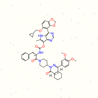 COc1ccc(C2=NN(C3CCN(C(=O)[C@@H](Cc4ccccc4)NC(=O)Oc4c(C)[nH]c5c(-c6c(OCC7CC7)ccc7c6OCO7)ncnc45)CC3)C(=O)[C@@H]3CCCC[C@H]23)cc1OC